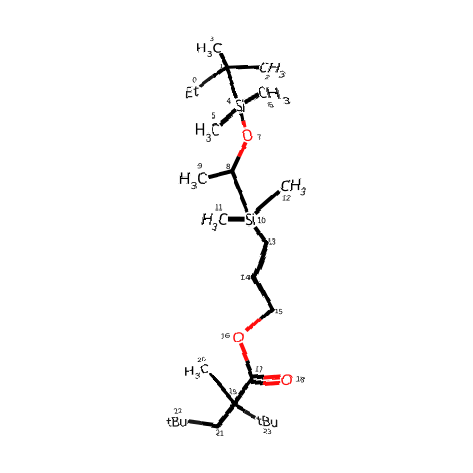 CCC(C)(C)[Si](C)(C)OC(C)[Si](C)(C)CCCOC(=O)C(C)(CC(C)(C)C)C(C)(C)C